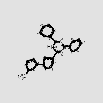 Cc1cccc(-c2cccc(C3=NC(c4ccccc4)=NC(c4ccccc4)N3)c2)c1